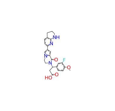 COc1ccc(C(CC(=O)O)N2CCn3cc(-c4ccc5c(n4)NCCC5)cc3C2=O)cc1F